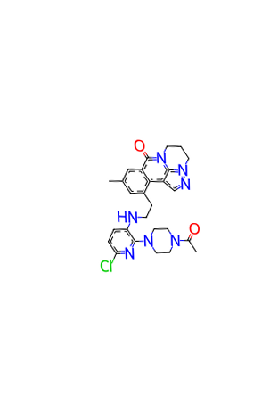 CC(=O)N1CCN(c2nc(Cl)ccc2NCCc2cc(C)cc3c(=O)n4c5c(cnn5CCC4)c23)CC1